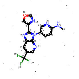 CNc1ccc(-n2c(-c3cocn3)nc3cc(C(F)(F)F)cnc32)cn1